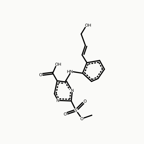 COS(=O)(=O)c1ncc(C(=O)O)c(Nc2ccccc2C=CCO)n1